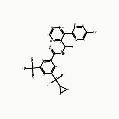 CC(NC(=O)c1cc(C(F)(F)F)cc(C(F)(F)C2CC2)c1)c1nccnc1-c1ncc(Br)cn1